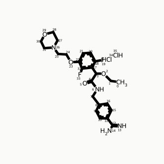 CCOC(C(=O)NCc1ccc(C(=N)N)cc1)c1c(F)ccc(OCCN2CCOCC2)c1F.Cl.Cl